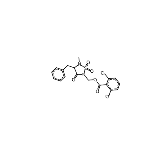 CN1C(Cc2ccccc2)C(=O)N(COC(=O)c2c(Cl)cccc2Cl)S1(=O)=O